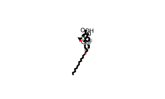 CCCCCCCCCCCCCCCN1CCN(c2c(F)cc3c(=O)c(C(=O)O)cn(C4CC4)c3c2OC)CC1